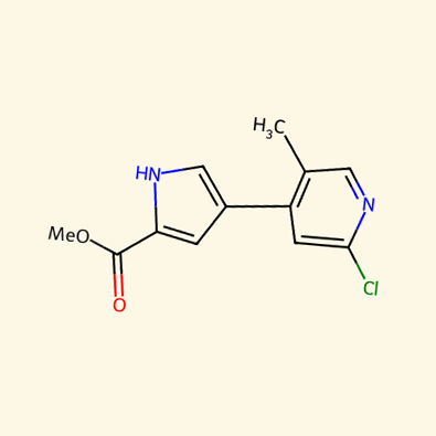 COC(=O)c1cc(-c2cc(Cl)ncc2C)c[nH]1